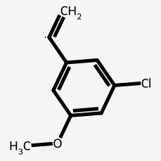 C=[C]c1cc(Cl)cc(OC)c1